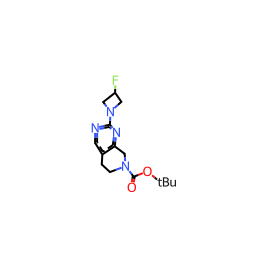 CC(C)(C)OC(=O)N1CCc2cnc(N3CC(F)C3)nc2C1